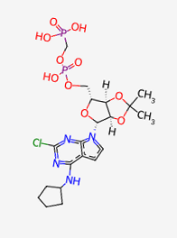 CC1(C)O[C@@H]2[C@H](O1)[C@@H](COP(=O)(O)OCP(=O)(O)O)O[C@H]2n1ccc2c(NC3CCCC3)nc(Cl)nc21